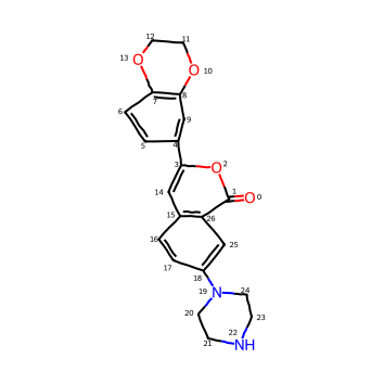 O=c1oc(-c2ccc3c(c2)OCCO3)cc2ccc(N3CCNCC3)cc12